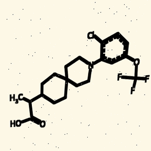 CC(C(=O)O)C1CCC2(CC1)CCN(c1cc(OC(F)(F)F)ccc1Cl)CC2